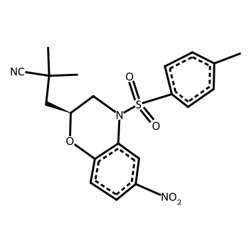 Cc1ccc(S(=O)(=O)N2C[C@H](CC(C)(C)C#N)Oc3ccc([N+](=O)[O-])cc32)cc1